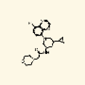 CCc1ccc(N2CC(NC(=O)CN3CCOCC3)CC(C3CC3)C2)c2nccnc12